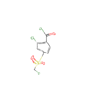 O=C(Cl)c1ccc(S(=O)(=O)CCl)cc1Cl